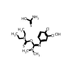 CCN(CC)C(=S)OC(=Nc1ccc(Cl)c(Cl)c1)N(C)C.Cl.NC(O)=S